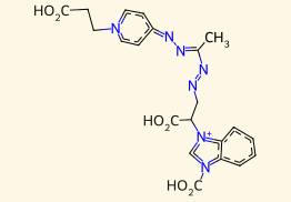 CC(N=NCC(C(=O)O)[n+]1cn(C(=O)O)c2ccccc21)=NN=c1ccn(CCC(=O)O)cc1